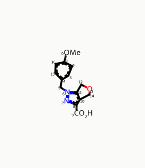 COc1ccc(Cn2nc(C(=O)O)c3c2COC3)cc1